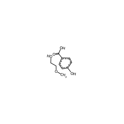 COCCO.O=C(O)c1ccc(O)cc1